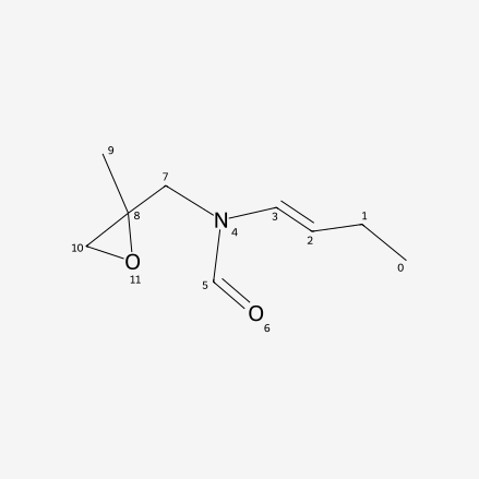 CCC=CN(C=O)CC1(C)CO1